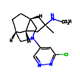 CC(C)(C[C@H]1[C@@H]2CC[C@H]1CN(c1cnnc(Cl)c1)C2)NC(=O)O